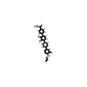 C=CCOc1ccc(C2CCC(c3ccc(-c4ccc(C(C)O)cc4)c(F)c3F)CC2)cc1F